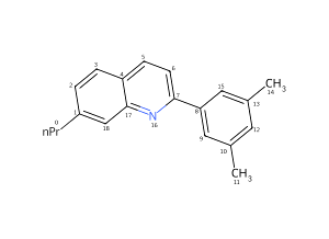 CCCc1ccc2ccc(-c3cc(C)cc(C)c3)nc2c1